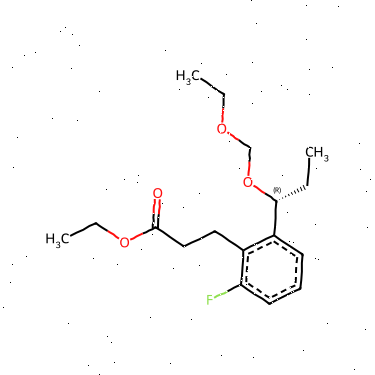 CCOCO[C@H](CC)c1cccc(F)c1CCC(=O)OCC